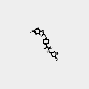 CC(C(=O)NC1CNC(=O)C1)c1ccc(Oc2nc3ccc(Cl)cc3s2)cc1